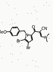 COc1ccc(Cn2c(C(=O)C(C#N)=CN(C)C)cc(Br)c2Br)cc1